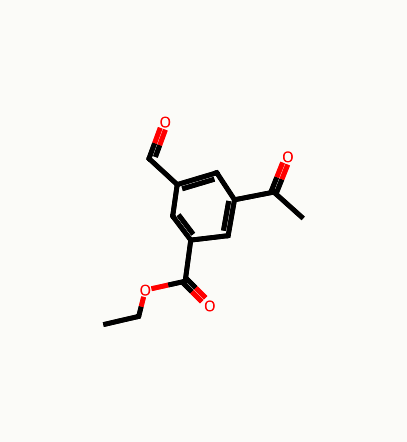 CCOC(=O)c1cc(C=O)cc(C(C)=O)c1